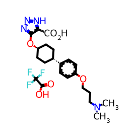 CN(C)CCCOc1ccc([C@H]2CC[C@H](Oc3nn[nH]c3C(=O)O)CC2)cc1.O=C(O)C(F)(F)F